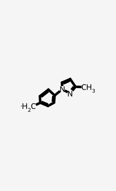 [CH2]c1ccc(-n2ccc(C)n2)cc1